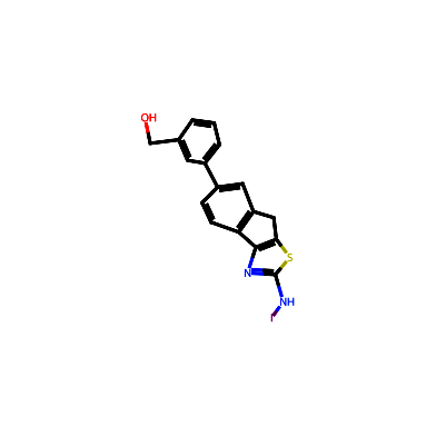 OCc1cccc(-c2ccc3c(c2)Cc2sc(NI)nc2-3)c1